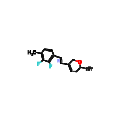 CCCC1CC=C(/C=C/c2ccc(C)c(F)c2F)CO1